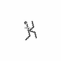 CCCCC/C=C\CCCC(CCC/C=C\CCCCC)C(CCC/C=C\CCCCC)OC(=O)NCCCN1CCCC1